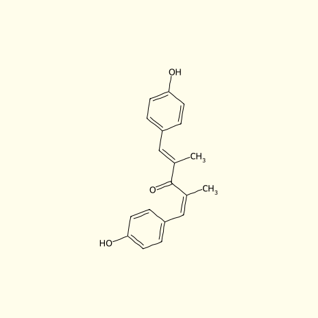 C/C(=C/c1ccc(O)cc1)C(=O)/C(C)=C/c1ccc(O)cc1